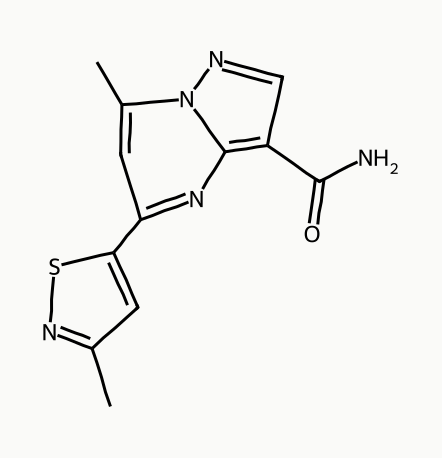 Cc1cc(-c2cc(C)n3ncc(C(N)=O)c3n2)sn1